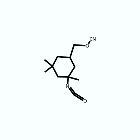 CC1(C)CC(COC#N)CC(C)(N=C=O)C1